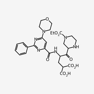 CCOC(=O)N1CCNC(C(=O)C(CC(C(=O)O)C(=O)O)NC(=O)c2cc(N3CCOCC3)nc(-c3ccccc3)n2)C1